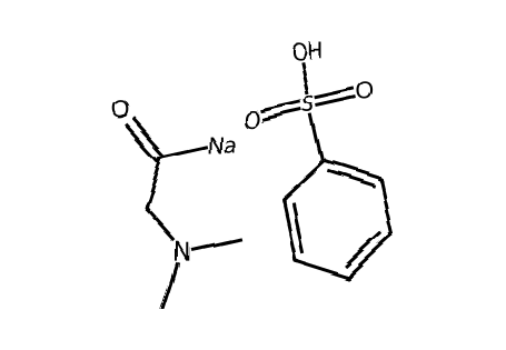 CN(C)C[C](=O)[Na].O=S(=O)(O)c1ccccc1